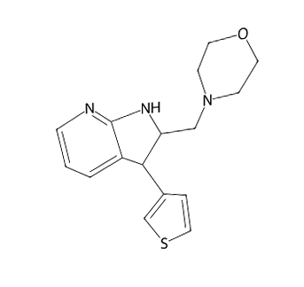 c1cnc2c(c1)C(c1ccsc1)C(CN1CCOCC1)N2